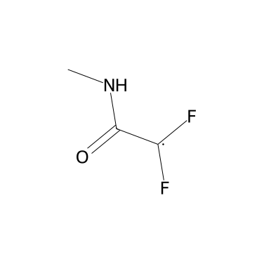 CNC(=O)[C](F)F